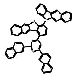 c1ccc2cc(C3=NC(c4ccc(-n5c6ccccc6c6cc7ccccc7cc65)c5sc6cc7ccccc7cc6c45)=NC(c4ccc5ccccc5c4)N3)ccc2c1